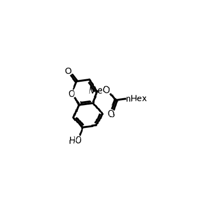 CCCCCCC(=O)OC.O=c1ccc2ccc(O)cc2o1